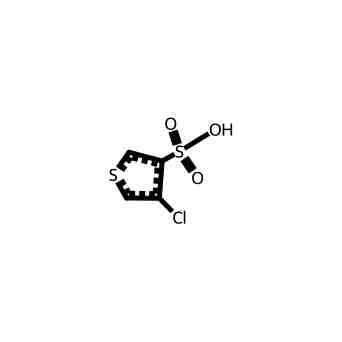 O=S(=O)(O)c1cscc1Cl